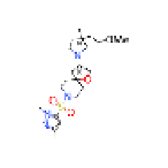 COCC[C@@]1(C)CCN([C@@H]2COC3(CCN(S(=O)(=O)c4cc(C)nn4C)CC3)C2)C1